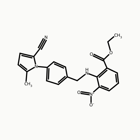 CCOC(=O)c1cccc([N+](=O)[O-])c1NCc1ccc(-n2c(C)ccc2C#N)cc1